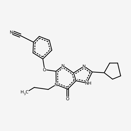 CCCn1c(Oc2cccc(C#N)c2)nc2nc(C3CCCC3)[nH]c2c1=O